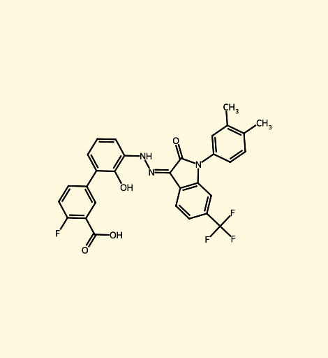 Cc1ccc(N2C(=O)C(=NNc3cccc(-c4ccc(F)c(C(=O)O)c4)c3O)c3ccc(C(F)(F)F)cc32)cc1C